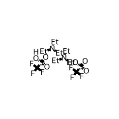 CCN(CC)CC.CCN(CC)CC.O=S(=O)(O)C(F)(F)F.O=S(=O)(O)C(F)(F)F